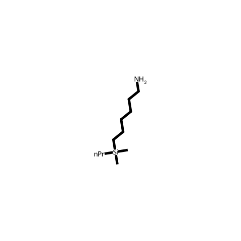 CCC[Si](C)(C)CCCCCCN